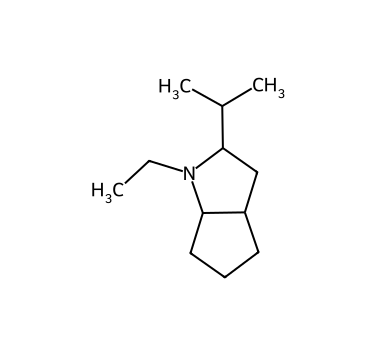 CCN1C(C(C)C)CC2CCCC21